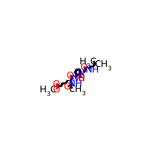 COC(=O)/C=C/CC[C@H](NC(C)=O)C(=O)Nc1cccn(CC(=O)NCCC(C)C)c1=O